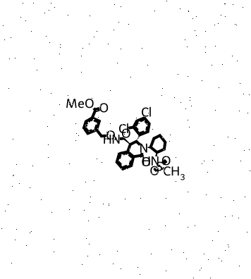 COC(=O)c1cccc(CONC(=O)[C@@H]2c3ccccc3C(=O)N([C@@H]3CCCC[C@H]3NS(C)(=O)=O)[C@H]2c2ccc(Cl)cc2Cl)c1